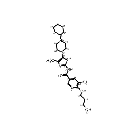 Cc1nc(NC(=O)c2cnc(OCCCO)c(Cl)c2)sc1N1CCN(C2CCCCC2)CC1